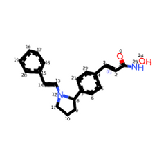 O=C(/C=C/c1ccc(C2CCCN2C=Cc2ccccc2)cc1)NO